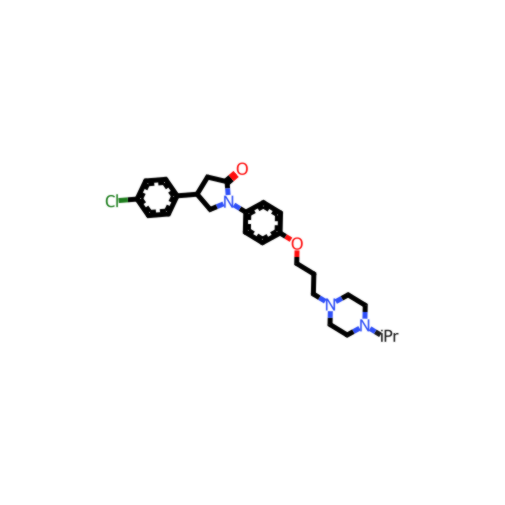 CC(C)N1CCN(CCCOc2ccc(N3CC(c4ccc(Cl)cc4)CC3=O)cc2)CC1